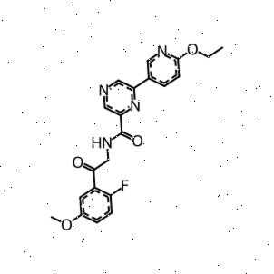 CCOc1ccc(-c2cncc(C(=O)NCC(=O)c3cc(OC)ccc3F)n2)cn1